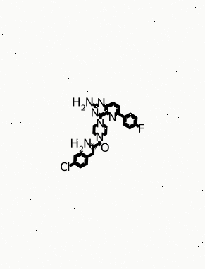 Nc1nc(N2CCN(C(=O)[C@@H](N)Cc3ccc(Cl)cc3)CC2)c2nc(-c3ccc(F)cc3)ccc2n1